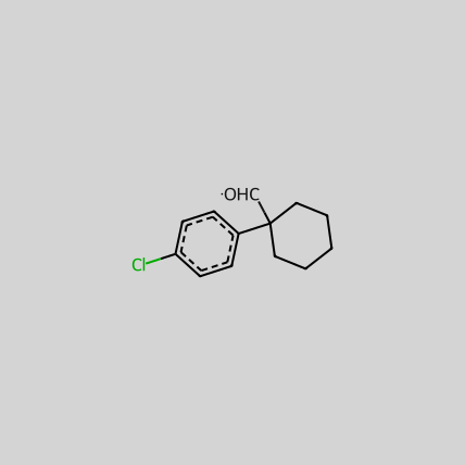 O=[C]C1(c2ccc(Cl)cc2)CCCCC1